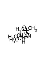 CCC(C=O)(CC)c1cncc(NC(=O)OC(C)(C)C)n1